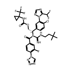 CC(C)(C)CCNC(=N)N(C(=O)c1ccc(-n2cnnn2)c(F)c1)[C@H](COC(=O)NC1(C(F)(F)F)CC1)c1ccc(Cl)c(-n2ncnc2C(F)F)c1